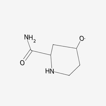 NC(=O)C1CC([O])CCN1